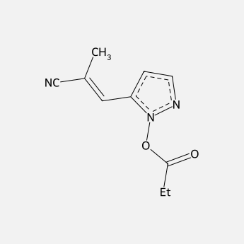 CCC(=O)On1nccc1C=C(C)C#N